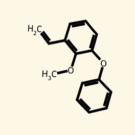 C=Cc1cccc(Oc2ccccc2)c1OC